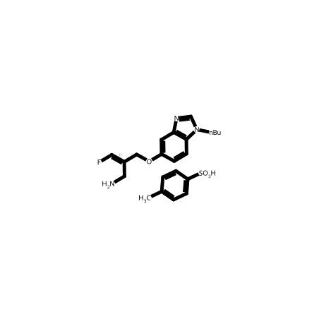 CCCCn1cnc2cc(OC/C(=C/F)CN)ccc21.Cc1ccc(S(=O)(=O)O)cc1